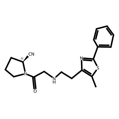 Cc1sc(-c2ccccc2)nc1CCNCC(=O)N1CCC[C@H]1C#N